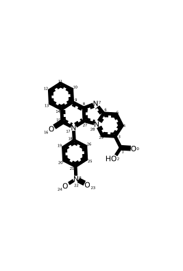 O=C(O)c1ccc2nc3c4ccccc4c(=O)n(-c4ccc([N+](=O)[O-])cc4)c3n2c1